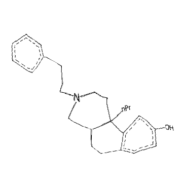 CCCC12CCN(CCc3ccccc3)CC1CCc1ccc(O)cc12